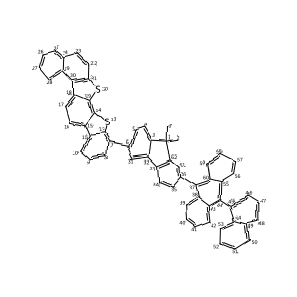 CC1(C)c2ccc(-c3cccc4c3sc3c4ccc4c3sc3ccc5ccccc5c34)cc2-c2ccc(-c3c4ccccc4c(-c4cccc5ccccc45)c4ccccc34)cc21